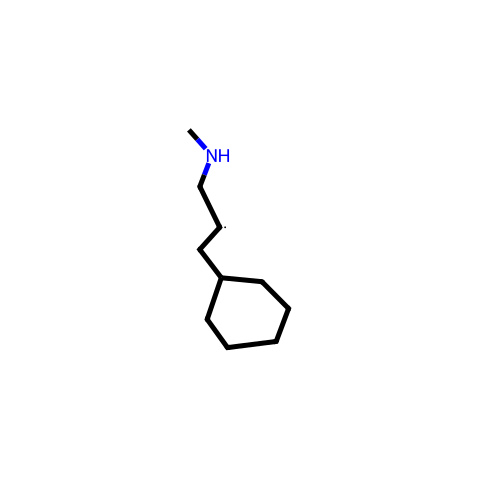 CNC[CH]CC1CCCCC1